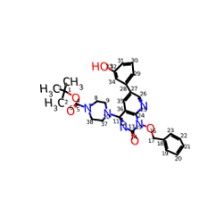 CC(C)(C)OC(=O)N1CCN(c2nc(=O)n(OCc3ccccc3)c3ncc(-c4cccc(O)c4)cc23)CC1